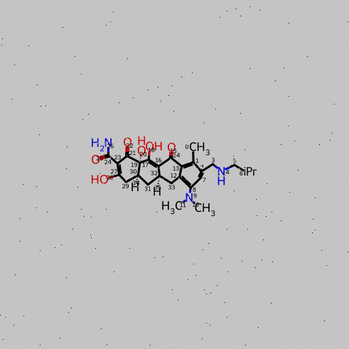 Cc1c(CNCC(C)C)cc(N(C)C)c2c1C(=O)C1=C(O)[C@]3(O)C(=O)C(C(N)=O)=C(O)C[C@@H]3C[C@@H]1C2